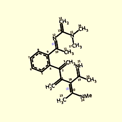 C=C(C(=C)c1ccccc1/C(C)=N/C(=C)N(C)C)/C(C(C)=N)=C(\C)NC